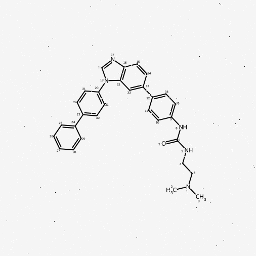 CN(C)CCNC(=O)Nc1ccc(-c2ccc3ncn(-c4ccc(-c5ccccc5)cc4)c3c2)cc1